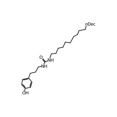 CCCCCCCCCCCCCCCCCCCCNC(=O)NCCCc1ccc(O)cc1